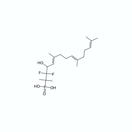 CC(C)=CCCC(C)=CCCC(C)=CC(O)C(F)(F)C(C)(C)P(=O)(O)O